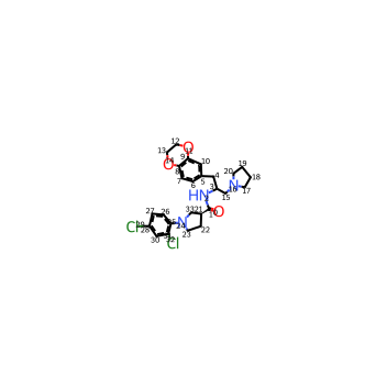 O=C(NC(Cc1ccc2c(c1)OCCO2)CN1CCCC1)[C@H]1CCN(c2ccc(Cl)cc2Cl)C1